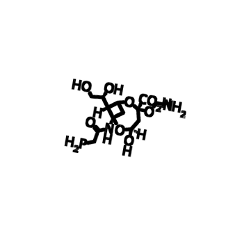 NCO[C@]1(C(=O)O)C[C@@H](O)O[C@@]2(NC(=O)CP)CC(O1)[C@H]2[C@H](O)CO